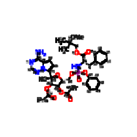 COC(C)(C)COC(=O)[C@H](Cc1ccccc1)N[P@@](=O)(OC[C@H]1O[C@@](C#N)(c2ccc3c(N)ncnn23)[C@H](OC(=O)C(C)C)[C@@H]1OC(=O)C(C)C)Oc1ccccc1